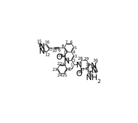 C[C@@H](c1cc2cccc(C#Cc3cnn(C)c3)c2c(=O)n1-c1ccccc1)N1CCc2c(c(N)nn2C)C1=O